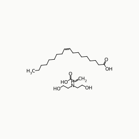 C=CC(=O)O.CCCCCCCC/C=C\CCCCCCCC(=O)O.OCCNCCO